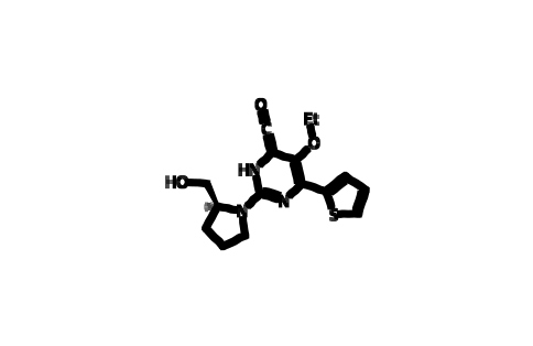 CCOC1=C(c2cccs2)N=C(N2CCC[C@H]2CO)NC1=C=O